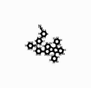 N#Cc1cccc(-c2ccc(N(c3ccccc3)c3cccc(-c4ccc5c6c(cccc46)-c4c-5c(-c5ccccc5)c5ccccc5c4-c4ccccc4)c3)cc2)c1